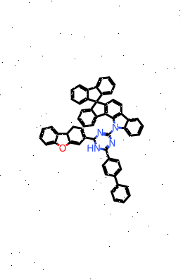 C1=C(C2N=C(n3c4ccccc4c4ccc5c(c43)-c3ccccc3C53c4ccccc4-c4ccccc43)N=C(c3ccc(-c4ccccc4)cc3)N2)C=C2Oc3ccccc3C2C1